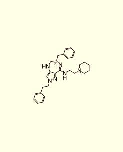 c1ccc(CCn2cc3c(n2)C(NCCN2CCCCC2)=N[C@H](Cc2ccccc2)CN3)cc1